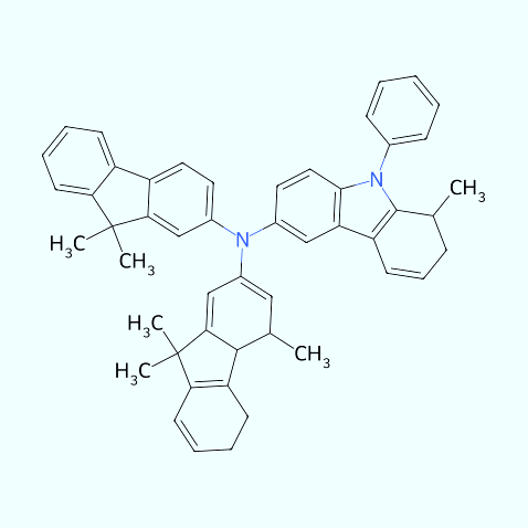 CC1CC=Cc2c1n(-c1ccccc1)c1ccc(N(C3=CC(C)C4C(=C3)C(C)(C)C3=C4CCC=C3)c3ccc4c(c3)C(C)(C)c3ccccc3-4)cc21